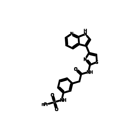 CCCS(=O)(=O)Nc1cccc(CC(=O)Nc2nc(-c3c[nH]c4ncccc34)cs2)c1